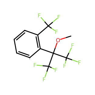 COC(c1[c]cccc1C(F)(F)F)(C(F)(F)F)C(F)(F)F